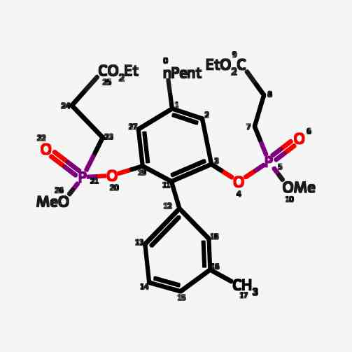 CCCCCc1cc(OP(=O)(CCC(=O)OCC)OC)c(-c2cccc(C)c2)c(OP(=O)(CCC(=O)OCC)OC)c1